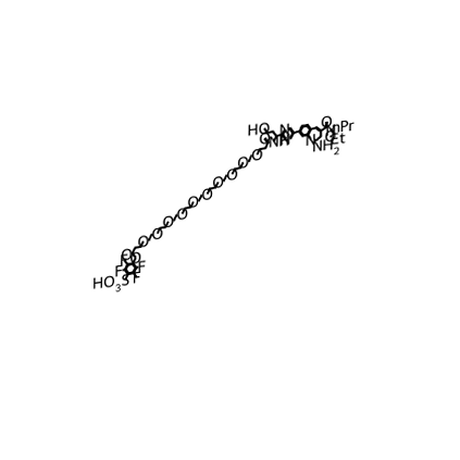 CCCN(OCC)C(=O)C1=Cc2ccc(-c3cnc(C(CCO)NC(=O)CCOCCOCCOCCOCCOCCOCCOCCOCCOCCOCCC(=O)Oc4c(F)c(F)c(S(=O)(=O)O)c(F)c4F)nc3)cc2N=C(N)C1